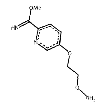 COC(=N)c1ccc(OCCON)cn1